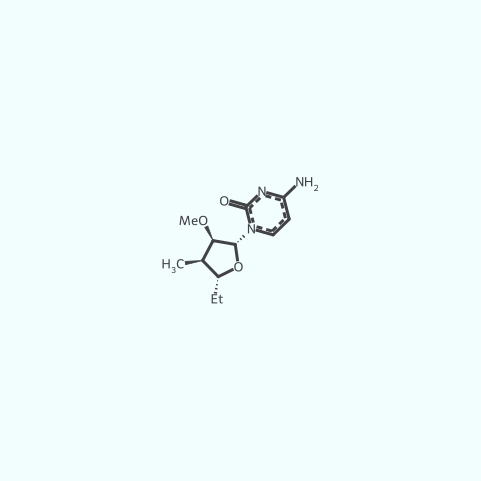 CC[C@H]1O[C@@H](n2ccc(N)nc2=O)[C@H](OC)[C@@H]1C